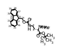 CC(C)(C)OC(=O)[C@H](CCNC(=O)OCC1c2ccccc2-c2ccccc21)N=[N+]=[N-]